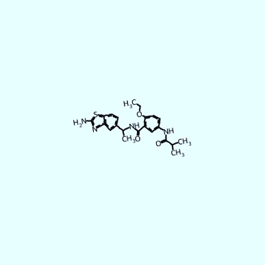 CCOc1ccc(NC(=O)C(C)C)cc1C(=O)NC(C)c1ccc2sc(N)nc2c1